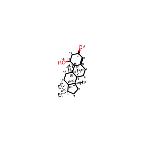 CC[C@H]1CC[C@H]2[C@@H]3CCC4=CC(=O)CC(O)[C@@H]4[C@H]3CC[C@]12CC